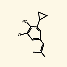 CC(C)=Cc1cc(Cl)c(C#N)c(C2CC2)c1